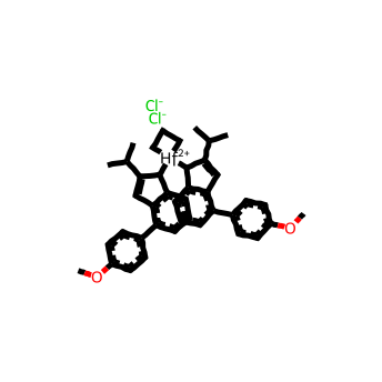 COc1ccc(-c2cccc3c2C=C(C(C)C)[CH]3[Hf+2]2([CH]3C(C(C)C)=Cc4c(-c5ccc(OC)cc5)cccc43)[CH2]C[CH2]2)cc1.[Cl-].[Cl-]